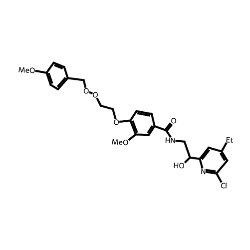 CCc1cc(Cl)nc(C(O)CNC(=O)c2ccc(OCCOOCc3ccc(OC)cc3)c(OC)c2)c1